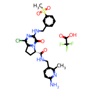 Cc1nc(N)ccc1CNC(=O)[C@@H]1CCc2c(Cl)nc(NCc3cccc(S(C)(=O)=O)c3)c(=O)n21.O=C(O)C(F)(F)F